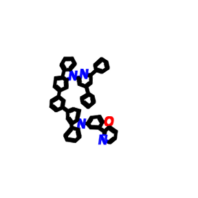 c1ccc(-c2cc(-c3ccccc3)nc(-n3c4ccccc4c4ccc(-c5cccc(-c6ccc7c(c6)c6ccccc6n7-c6ccc7oc8cccnc8c7c6)c5)cc43)c2)cc1